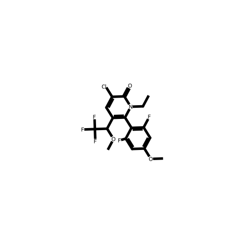 CCn1c(-c2c(F)cc(OC)cc2F)c(C(OC)C(F)(F)F)cc(Cl)c1=O